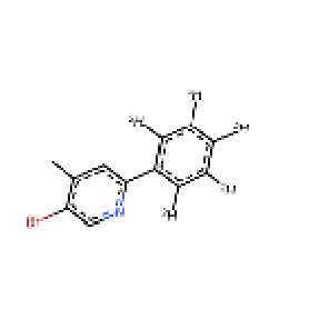 [2H]c1c([2H])c([2H])c(-c2cc(C)c(Br)cn2)c([2H])c1[2H]